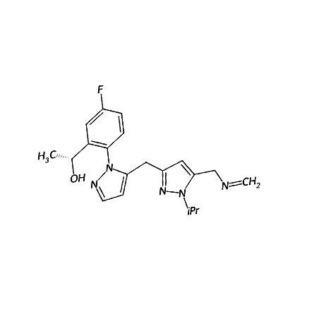 C=NCc1cc(Cc2ccnn2-c2ccc(F)cc2[C@@H](C)O)nn1C(C)C